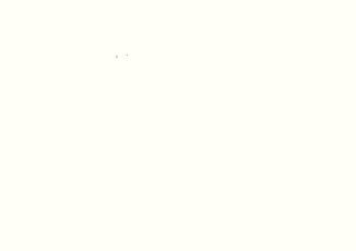 CC(=O)NCCc1c(C)cccc1OCCO